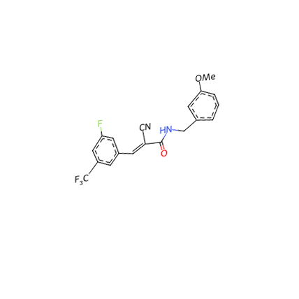 COc1cccc(CNC(=O)/C(C#N)=C/c2cc(F)cc(C(F)(F)F)c2)c1